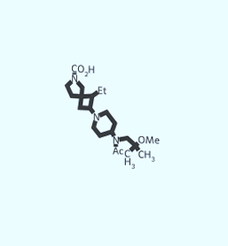 CCC1C(N2CCC(N(CC(C)(C)OC)C(C)=O)CC2)CC12CCN(C(=O)O)C2